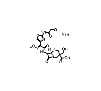 CON=C(C(=O)NC1C(=O)N2CC(CO)(C(=O)O)CS[C@H]12)c1csc(NC(=O)CCl)n1.[NaH]